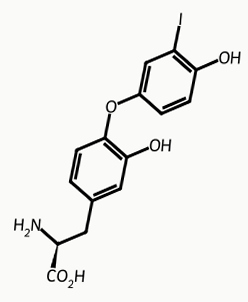 N[C@@H](Cc1ccc(Oc2ccc(O)c(I)c2)c(O)c1)C(=O)O